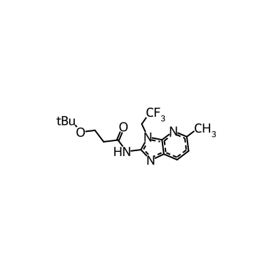 Cc1ccc2nc(NC(=O)CCOC(C)(C)C)n(CC(F)(F)F)c2n1